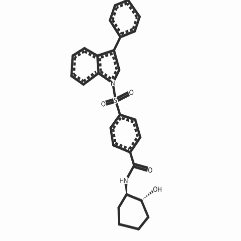 O=C(N[C@@H]1CCCC[C@H]1O)c1ccc(S(=O)(=O)n2cc(-c3ccccc3)c3ccccc32)cc1